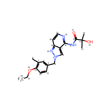 Cc1cc(Cn2cc3c(NC(=O)C(C)(C)O)nccc3n2)ccc1OCC(F)(F)F